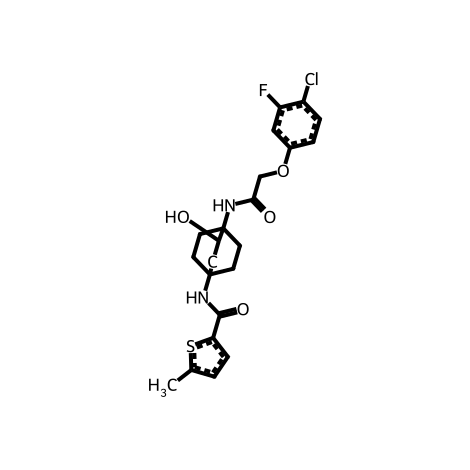 Cc1ccc(C(=O)NC23CCC(NC(=O)COc4ccc(Cl)c(F)c4)(CC2)C(O)C3)s1